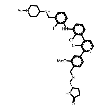 COc1cc(-c2nccc(-c3cccc(Nc4cccc(CNC5CCN(C(C)=O)CC5)c4F)c3Cl)c2Cl)ccc1CNC[C@@H]1CCC(=O)N1